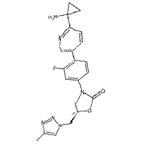 Cc1cn(C[C@H]2CN(c3ccc(-c4ccc(C5(N)CC5)nc4)c(F)c3)C(=O)O2)nn1